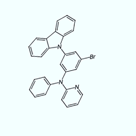 Brc1cc(N(c2ccccc2)c2ccccn2)cc(-n2c3ccccc3c3ccccc32)c1